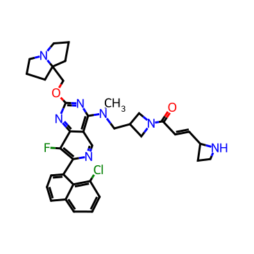 CN(CC1CN(C(=O)/C=C/C2CCN2)C1)c1nc(OCC23CCCN2CCC3)nc2c(F)c(-c3cccc4cccc(Cl)c34)ncc12